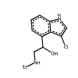 CCNCC(O)c1cccc2[nH]cc(Cl)c12